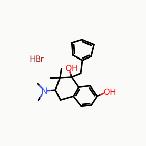 Br.CN(C)C1Cc2ccc(O)cc2C(O)(Cc2ccccc2)C1(C)C